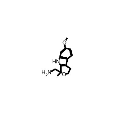 COc1ccc2c3c([nH]c2c1)C(C)(CN)OCC3